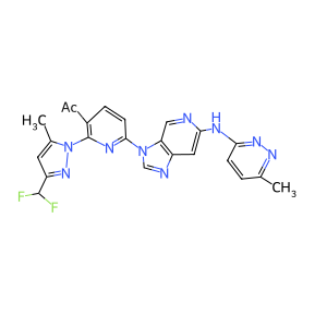 CC(=O)c1ccc(-n2cnc3cc(Nc4ccc(C)nn4)ncc32)nc1-n1nc(C(F)F)cc1C